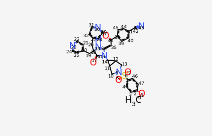 COc1ccc(S(=O)(=O)N2CC3C(C2)C3N2C(=O)C(Cc3ccncc3)(Cc3ccncc3)NC2=CC(=O)c2ccc(C#N)cc2)cc1